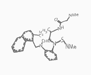 CNCC(=O)NC(C)CN(SNC)c1ccccc1N(C=O)Cc1c(C)ccc2ccccc12